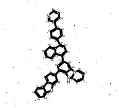 C1=CC2Nc3c(-c4ccc5c(c4)oc4ccccc45)cc(-c4ccc(-c5ccc(-c6cccnc6)cc5)c5ccccc45)cc3N2C=C1